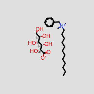 CCCCCCCCCCCC[N+](C)(C)Cc1ccccc1.O=C([O-])[C@H](O)[C@@H](O)[C@H](O)[C@H](O)CO